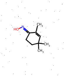 CC1=CC(C)(C)CCC1=NO